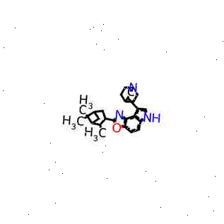 CC1C(c2nc3c(ccc4[nH]cc(C5CN6CCC5CC6)c43)o2)CC2CC1C2(C)C